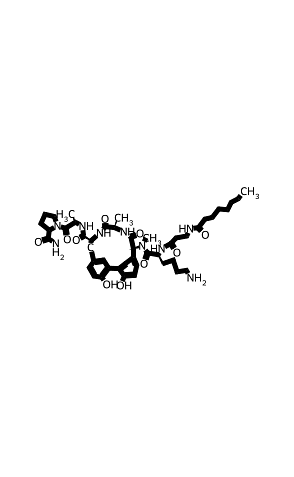 CCCCCCCC(=O)NCCC(=O)N[C@@H](CCCCN)C(=O)N(C)[C@@H]1C(=O)N[C@@H](C)C(=O)N[C@H](C(=O)N[C@@H](C)C(=O)N2CCCC2C(N)=O)Cc2ccc(O)c(c2)-c2cc1ccc2O